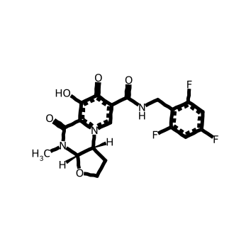 CN1C(=O)c2c(O)c(=O)c(C(=O)NCc3c(F)cc(F)cc3F)cn2[C@@H]2CCO[C@@H]21